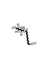 CCCCCCCC/C=C\CCCCCCCC(=O)OC(=O)[C@@H](O)[C@@H](O)[C@H](O)[C@H](O)CO